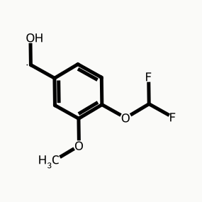 COc1cc([CH]O)ccc1OC(F)F